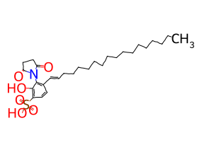 CCCCCCCCCCCCCCCCC=Cc1ccc(S(=O)(=O)O)c(O)c1N1C(=O)CCC1=O